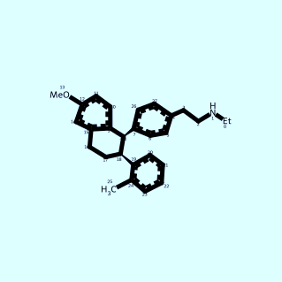 CCNCCc1ccc([C@@H]2c3ccc(OC)cc3CC[C@@H]2c2ccccc2C)cc1